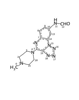 CN1CCN(c2nc3ccc(NC=O)cc3n3nnnc23)CC1